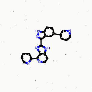 c1ccc(-c2nccc3[nH]c(-c4n[nH]c5ccc(-c6cccnc6)cc45)nc23)nc1